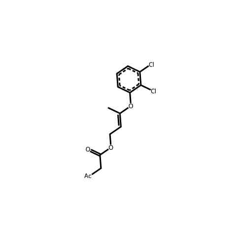 CC(=O)CC(=O)OC/C=C(\C)Oc1cccc(Cl)c1Cl